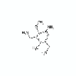 COc1c(N)cc(CN)c(C)c1CN